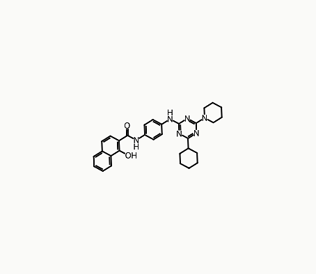 O=C(Nc1ccc(Nc2nc(C3CCCCC3)nc(N3CCCCC3)n2)cc1)c1ccc2ccccc2c1O